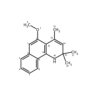 COc1cc2ccccc2c2c1C(C)=CC(C)(C)N2